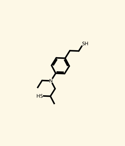 CCN(CC(C)S)c1ccc(CCS)cc1